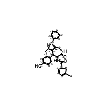 CC1=CC=CC(C(=O)N[C@@H]2C(=O)NCc3c(c(C)nn3-c3ccccc3)[C@@H]2c2ccc(C#N)cc2)C1